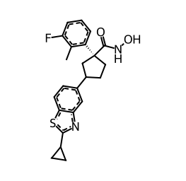 Cc1c(F)cccc1[C@]1(C(=O)NO)CCC(c2ccc3sc(C4CC4)nc3c2)C1